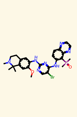 COc1cc2c(cc1Nc1ncc(Br)c(Nc3ccc4nccnc4c3P(C)(C)=O)n1)CCN(C)C2(C)C